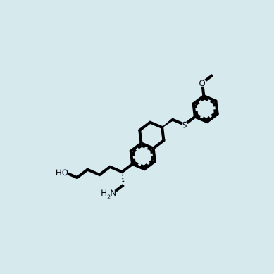 COc1cccc(SC[C@@H]2CCc3cc([C@H](CN)CCCCO)ccc3C2)c1